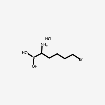 Cl.NC(CCCCBr)B(O)O